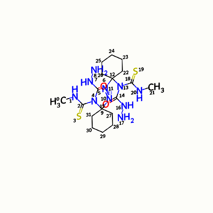 CNC(=S)N(C(=O)NN)C1(/N=N/C2(N(C(=O)NN)C(=S)NC)CCCCC2)CCCCC1